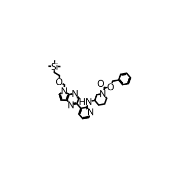 C[Si](C)(C)CCOCn1ccc2nc(-c3cccnc3NC3CCCN(C(=O)OCc4ccccc4)C3)cnc21